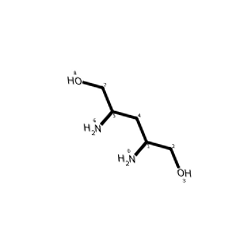 NC(CO)CC(N)CO